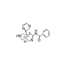 O=C(NC1=NC[C@H]2CNC[C@]2(c2cnccn2)S1)c1ccccc1